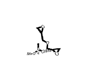 C(OCC1CO1)C1CO1.CO[SiH](C)OC